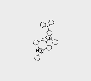 c1ccc(-c2nc3nc(n2)c2ccccc2c2cc(cc4c5cc(-n6c7ccccc7c7ccccc76)ccc5n(-c5ccccc5)c24)c2ccccc32)cc1